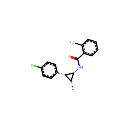 C[C@H]1[C@@H](NC(=O)c2ccccc2C(F)(F)F)[C@H]1c1ccc(Cl)cc1